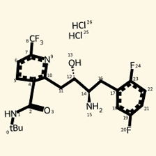 CC(C)(C)NC(=O)c1ccc(C(F)(F)F)nc1C[C@H](O)[C@H](N)Cc1cc(F)ccc1F.Cl.Cl